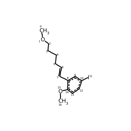 COCCCC/C=C/c1cc(I)ccc1OC